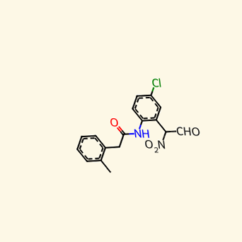 Cc1ccccc1CC(=O)Nc1ccc(Cl)cc1C(C=O)[N+](=O)[O-]